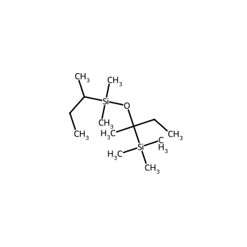 CCC(C)[Si](C)(C)OC(C)(CC)[Si](C)(C)C